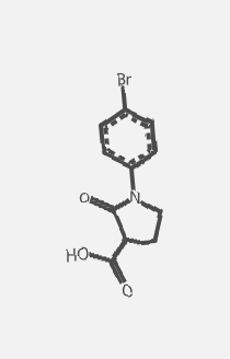 O=C(O)C1CCN(c2ccc(Br)cc2)C1=O